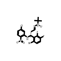 CC(C)(C)[S@@+]([O-])N=CC[C@@H](Nc1cc(Cl)ccc1[N+](=O)[O-])c1c(Br)ccc(F)c1F